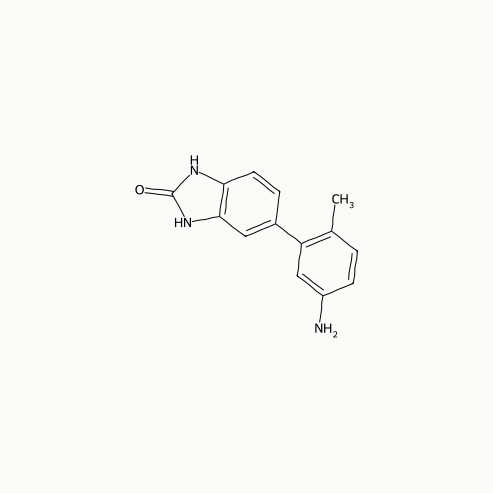 Cc1ccc(N)cc1-c1ccc2[nH]c(=O)[nH]c2c1